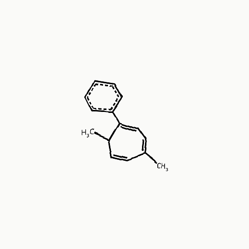 CC1=CC=C(c2ccccc2)C(C)C=C1